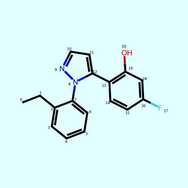 CCc1ccccc1-n1nccc1-c1ccc(F)cc1O